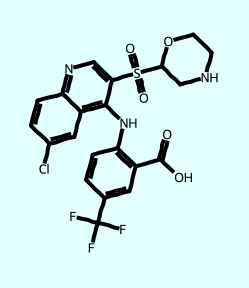 O=C(O)c1cc(C(F)(F)F)ccc1Nc1c(S(=O)(=O)C2CNCCO2)cnc2ccc(Cl)cc12